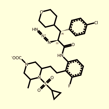 CC1CN(C(=O)[O-])CC(CCc2c(F)cccc2NC(=O)[C@@H](N=[N+]=N)[C@@H](c2ccc(Cl)cc2)C2CCOCC2)N1S(=O)(=O)C1CC1